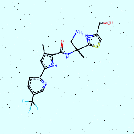 Cc1cc(-c2ccc(C(F)(F)F)cn2)[nH]c1C(=O)NC(C)(CN)c1nc(CO)cs1